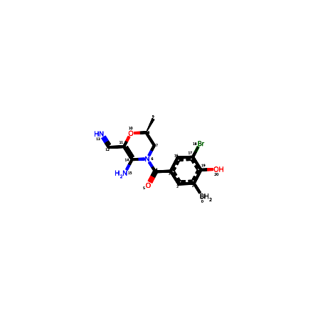 Bc1cc(C(=O)N2C[C@H](C)OC(C=N)=C2N)cc(Br)c1O